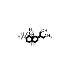 CC/C(CO)=C1\CC[C@H]2CC[C@H](C)C(C)(C)[C@@H]2C1